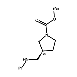 CC(C)NC[C@@H]1CCN(C(=O)OC(C)(C)C)C1